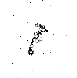 C=CC[C@H](O[Si](C)(C)C(C)(C)C)C(C)(C)C(=O)[C@H](C)[C@@H](O)[C@@H](C)CCCOCc1ccccc1